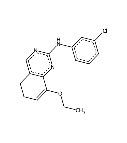 CCOC1=CCCc2cnc(Nc3cccc(Cl)c3)nc21